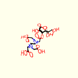 O=C(O)CN(CCN(CC(=O)O)CC(=O)OC1=C(O)C(=O)O[C@@H]1[C@@H](O)CO)CC(=O)O